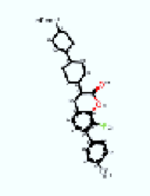 CCCCCC1CCC(C2CCC(C3Cc4ccc(-c5ccc(C(F)(F)F)cc5)c(F)c4OC3=O)CC2)CC1